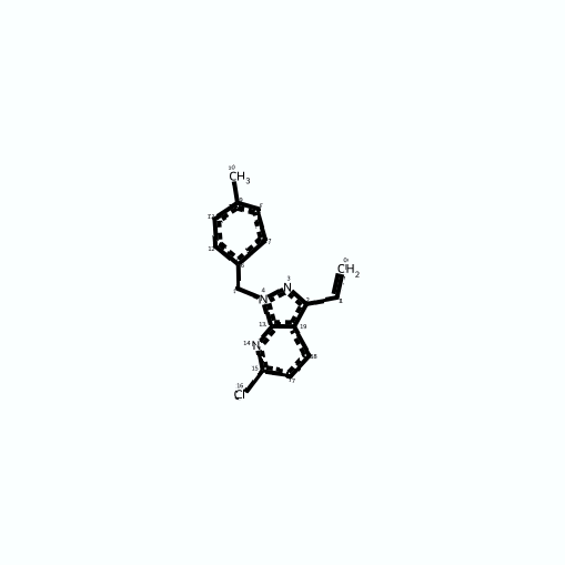 C=Cc1nn(Cc2ccc(C)cc2)c2nc(Cl)ccc12